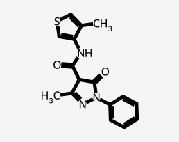 CC1=NN(c2ccccc2)C(=O)C1C(=O)Nc1cscc1C